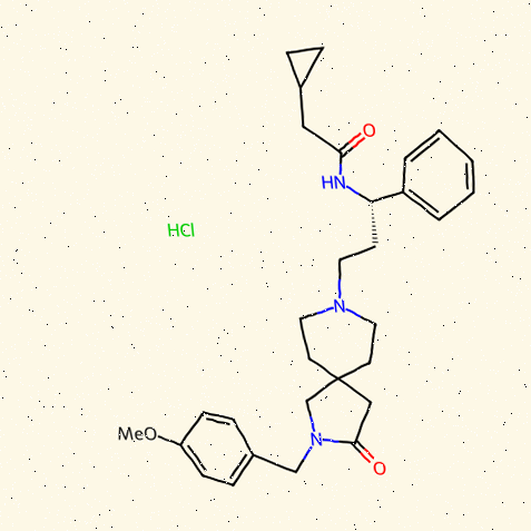 COc1ccc(CN2CC3(CCN(CC[C@H](NC(=O)CC4CC4)c4ccccc4)CC3)CC2=O)cc1.Cl